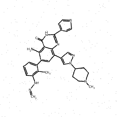 C=NNc1cccc(-c2cc(-c3cnn(C4CCN(C)CC4)c3)c3nc(-c4ccncc4)[nH]c(=O)c3c2N)c1C